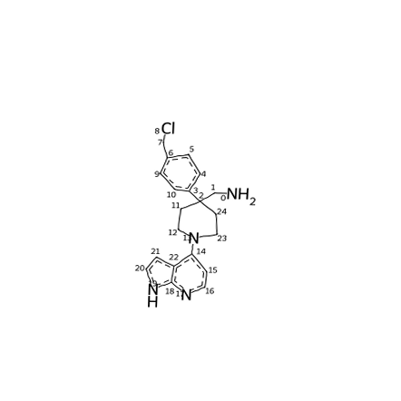 NCC1(c2ccc(CCl)cc2)CCN(c2ccnc3[nH]ccc23)CC1